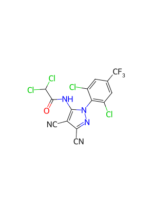 N#Cc1nn(-c2c(Cl)cc(C(F)(F)F)cc2Cl)c(NC(=O)C(Cl)Cl)c1C#N